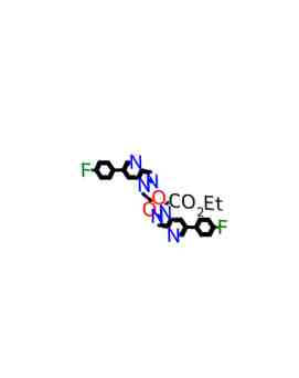 CCOC(=O)C(OC(=O)Cn1ncc2ncc(-c3ccc(F)cc3)cc21)n1ncc2ncc(-c3ccc(F)cc3)cc21